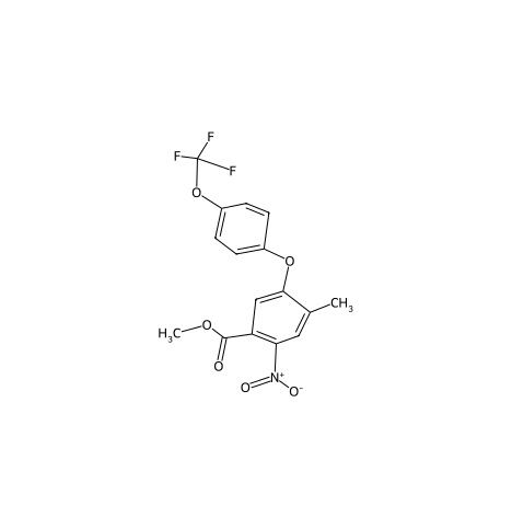 COC(=O)c1cc(Oc2ccc(OC(F)(F)F)cc2)c(C)cc1[N+](=O)[O-]